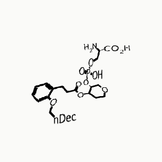 CCCCCCCCCCCOc1ccccc1CCC(=O)O[C@@H]1CCOC[C@H]1OP(=O)(O)OC[C@H](N)C(=O)O